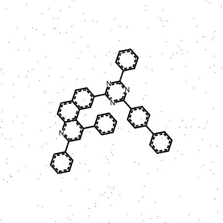 c1ccc(-c2ccc(-c3nc(-c4ccccc4)nc(-c4ccc5ccc6nc(-c7ccccc7)cc(-c7ccccc7)c6c5c4)n3)cc2)cc1